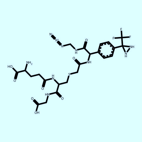 [N-]=[N+]=NCNC(=O)C(NC(=O)CSCC(NC(=O)CCC(N)C(=O)O)C(=O)NCC(=O)O)c1ccc(C2(C(F)(F)F)NN2)cc1